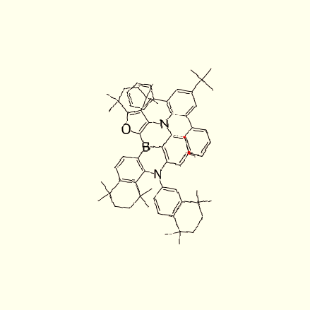 Cc1cc2c3c(c1)N(c1c(-c4ccccc4)cc(C(C)(C)C)cc1-c1ccccc1)c1c(oc4c1C(C)(C)CCC4(C)C)B3c1ccc3c(c1N2c1ccc2c(c1)C(C)(C)CCC2(C)C)C(C)(C)CCC3(C)C